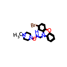 CN1CCN(ONCN2c3ccccc3Oc3ccc(Br)cc32)CC1